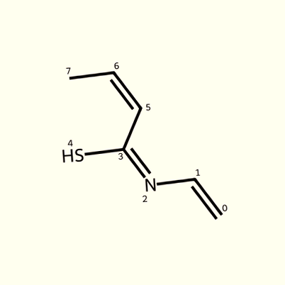 C=C/N=C(S)\C=C/C